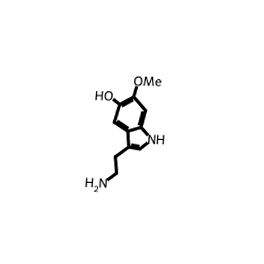 COc1cc2[nH]cc(CCN)c2cc1O